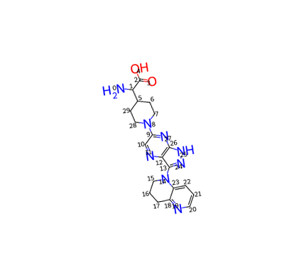 NC(C(=O)O)C1CCN(c2cnc3c(N4CCCc5ncccc54)n[nH]c3n2)CC1